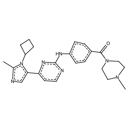 Cc1ncc(-c2ccnc(Nc3ccc(C(=O)N4CCN(C)CC4)cc3)n2)n1C1CCC1